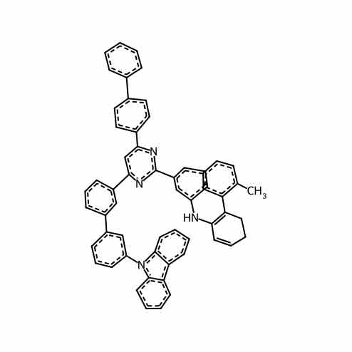 Cc1ccccc1C1=C(Nc2cccc(-c3nc(-c4ccc(-c5ccccc5)cc4)cc(-c4cccc(-c5cccc(-n6c7ccccc7c7ccccc76)c5)c4)n3)c2)C=CCC1